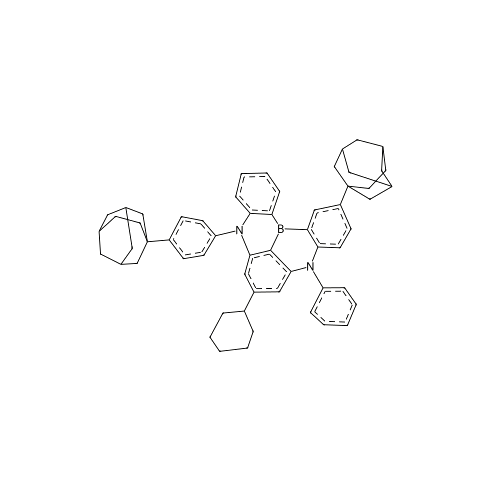 c1ccc(N2c3ccc(C45CCC6CC(CC(C6)C4)C5)cc3B3c4ccccc4N(c4ccc(C56CCC7CC(CC(C7)C5)C6)cc4)c4cc(C5CCCCC5)cc2c43)cc1